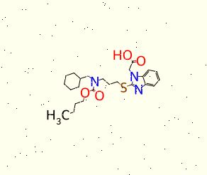 CCCCOC(=O)N(CCCSc1nc2ccccc2n1CC(=O)O)CC1CCCCC1